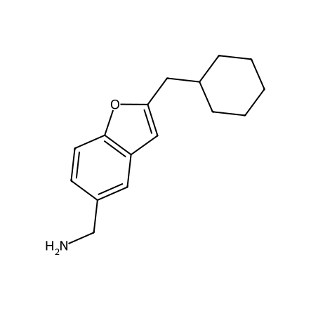 NCc1ccc2oc(CC3CCCCC3)cc2c1